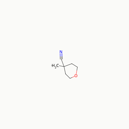 [CH2]C1(C#N)CCOCC1